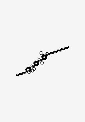 CCCCCCCCCCCCOc1ccc(C(=O)Oc2ccc(C(=O)O[C@@H]3CC[C@H](CCCCCC)OC3=O)cc2)cc1Cl